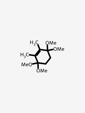 COC1(OC)CCC(OC)(OC)C(C)=C1C